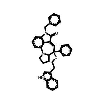 O=C1C2=C[C@](OCCc3c[nH]c4ccccc34)(c3ccccc3)C3CCCN3c3cccc(c32)N1Cc1ccccc1